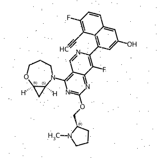 C#Cc1c(F)ccc2cc(O)cc(-c3ncc4c(N5CCCO[C@@H]6C[C@@H]65)nc(OC[C@H]5CCCN5C)nc4c3F)c12